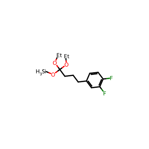 CCOC(CCCc1ccc(F)c(F)c1)(O[SiH3])OCC